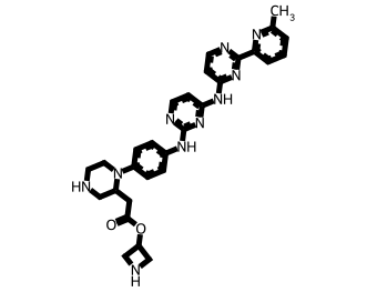 Cc1cccc(-c2nccc(Nc3ccnc(Nc4ccc(N5CCNCC5CC(=O)OC5CNC5)cc4)n3)n2)n1